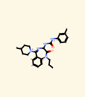 CCCN1C(=O)C(NC(=O)Nc2cccc(C)c2)N=C(N2CCC(C)CC2)c2ccccc21